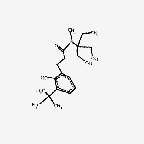 CCC(CO)(CO)N(C)C(=O)CCc1cccc(C(C)(C)C)c1O